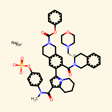 CN(C(=O)c1cc(-c2cc3c(cc2C(=O)N2Cc4ccccc4C[C@H]2CN2CCOCC2)CN(C(=O)Oc2ccccc2)CC3)n2c1CCCC2)c1ccc(OP(=O)([O-])[O-])cc1.[Na+].[Na+]